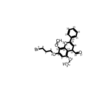 COc1cc(OCCCBr)c(OC)c2c1C(C=O)C=C(c1ccccc1)O2